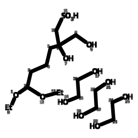 CCOC(CCCC(O)(CO)CS(=O)(=O)O)OCC.OCCO.OCCO.OCCO